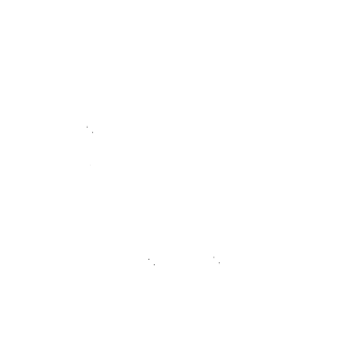 Cc1noc(-c2c[nH]c3ncccc23)c1-c1cccc(Cl)c1Cl